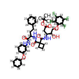 CC(C)(C)OC(=O)CC(NC(=O)C1(C(=O)NC(CCc2ccccc2)C(=O)Nc2cccc(Oc3ccccc3)c2)CCC1)C(O)COc1c(F)c(F)cc(F)c1F